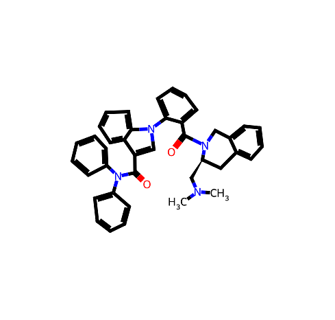 CN(C)C[C@@H]1Cc2ccccc2CN1C(=O)c1ccccc1-n1cc(C(=O)N(c2ccccc2)c2ccccc2)c2ccccc21